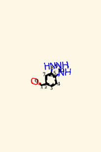 O=Cc1ccc2c(c1)NNN2